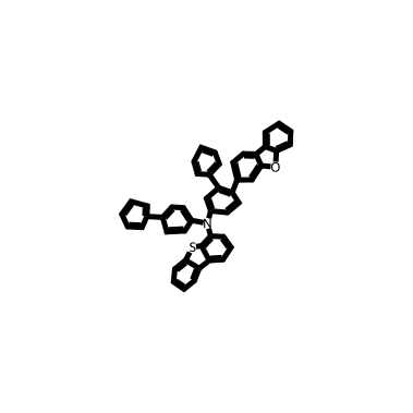 c1ccc(-c2ccc(N(c3ccc(-c4ccc5c(c4)oc4ccccc45)c(-c4ccccc4)c3)c3cccc4c3sc3ccccc34)cc2)cc1